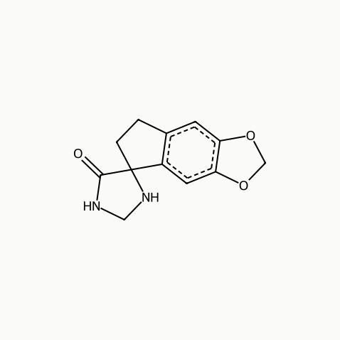 O=C1NCNC12CCc1cc3c(cc12)OCO3